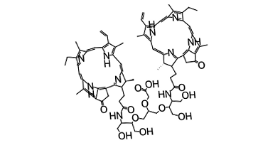 C=Cc1c(C)c2cc3nc(c4c5[nH]c(cc6nc(cc1[nH]2)C(C)=C6CC)c(C)c5C(=O)C4)C(CCC(=O)NC(CO)C(CO)OCC(COC(CO)C(CO)NC(=O)CCC1c2nc(cc4[nH]c(cc5nc(cc6[nH]c7c2CC(=O)c7c6C)C(CC)=C5C)c(C=C)c4C)[C@H]1C)OCC(=O)O)[C@@H]3C